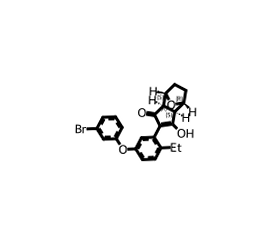 CCc1ccc(Oc2cccc(Br)c2)cc1C1=C(O)[C@H]2[C@@H](C1=O)[C@@H]1CC[C@H]2O1